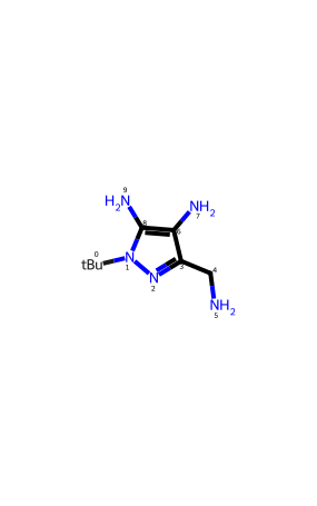 CC(C)(C)n1nc(CN)c(N)c1N